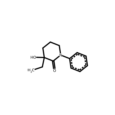 [CH2]CC1(O)CCCN(c2ccccc2)C1=O